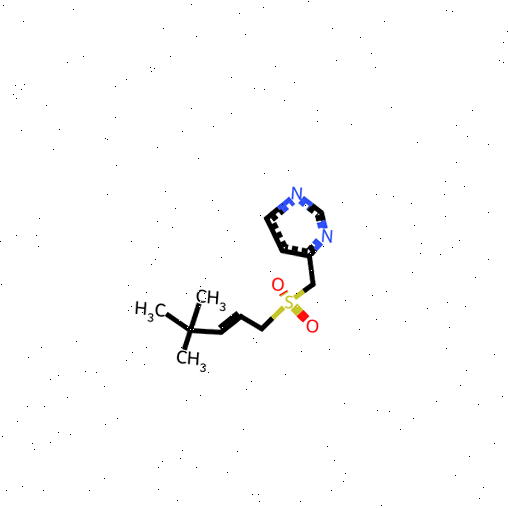 CC(C)(C)C=CCS(=O)(=O)Cc1ccncn1